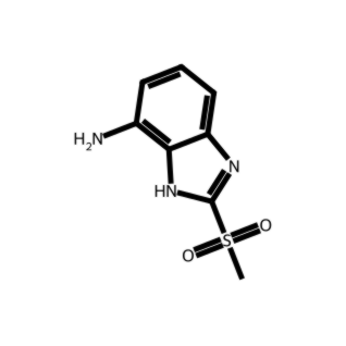 CS(=O)(=O)c1nc2cccc(N)c2[nH]1